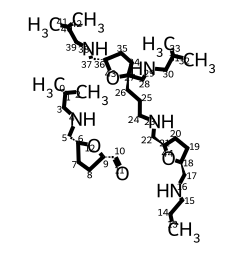 CC(C)CNC[C@H]1CC[C@@H](C=O)O1.CCCNC[C@@H]1CC[C@H](CNCCC[C@]2(CNCC(C)C)CC[C@@H](CNCC(C)C)O2)O1